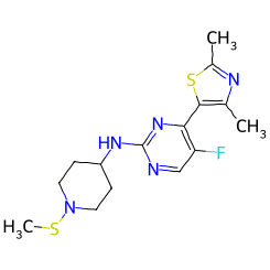 CSN1CCC(Nc2ncc(F)c(-c3sc(C)nc3C)n2)CC1